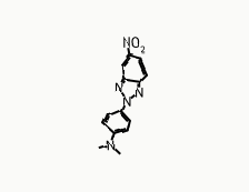 CN(C)c1ccc(-n2nc3ccc([N+](=O)[O-])cc3n2)cc1